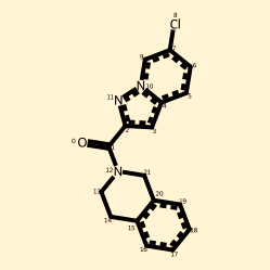 O=C(c1cc2ccc(Cl)cn2n1)N1CCc2ccccc2C1